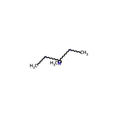 CCCCCCCC/C=C\CCCCCCCCc1ccnc(C)c1CCCCCCCC/C=C\CCCCCCCC